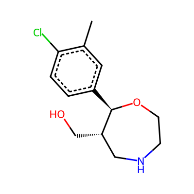 Cc1cc([C@H]2OCCNC[C@@H]2CO)ccc1Cl